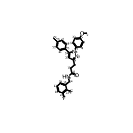 COc1ccc(-n2nc(CCC(=O)NCc3cccc(F)c3F)cc2-c2ccc(C)cc2)cc1